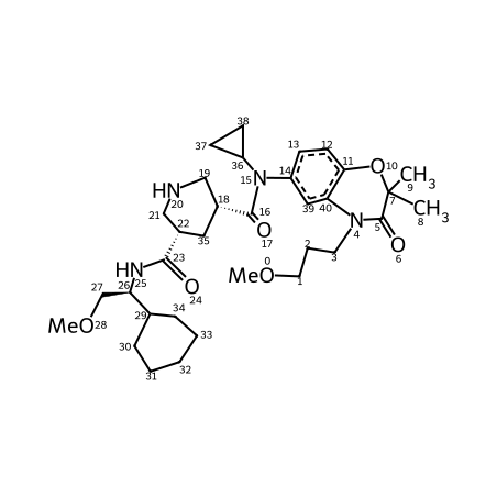 COCCCN1C(=O)C(C)(C)Oc2ccc(N(C(=O)[C@H]3CNC[C@@H](C(=O)N[C@H](COC)C4CCCCC4)C3)C3CC3)cc21